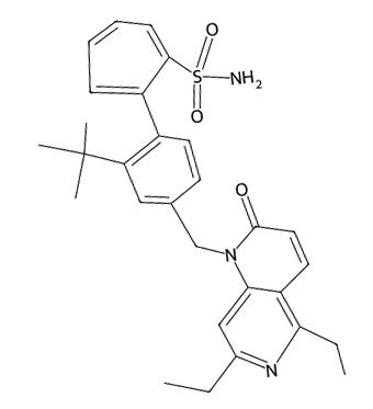 CCc1cc2c(ccc(=O)n2Cc2ccc(-c3ccccc3S(N)(=O)=O)c(C(C)(C)C)c2)c(CC)n1